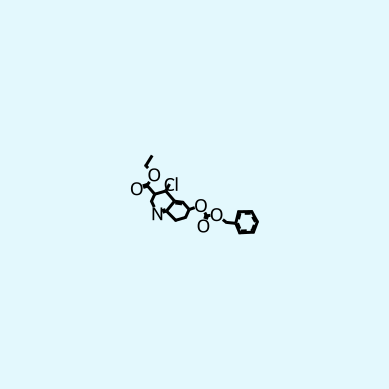 CCOC(=O)C1CN=C2CCC(OC(=O)OCc3ccccc3)C=C2C1Cl